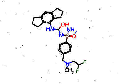 CN(Cc1ccc(S(N)(=O)=NC(O)Nc2c3c(cc4c2CCC4)CCC3)cc1)CC(F)F